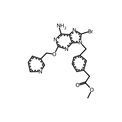 COC(=O)Cc1cccc(Cn2c(Br)nc3c(N)nc(OCc4cccnc4)nc32)c1